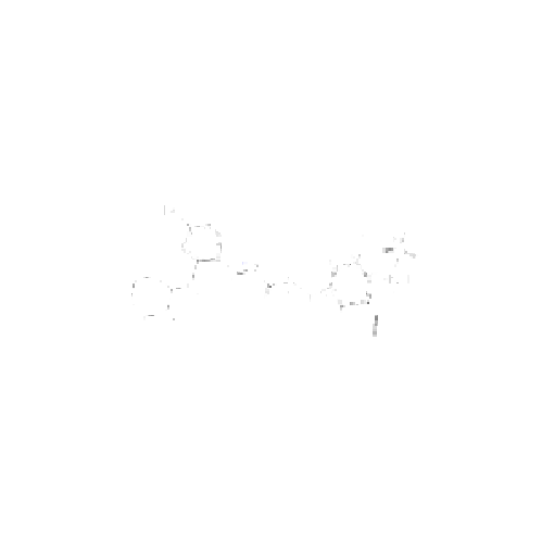 C=Cc1cc(CNC(=O)/C=C/c2ccc(C(C)(C)C)cc2OC2CCOCC2)cc(F)c1NS(C)(=O)=O